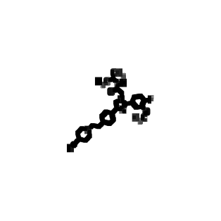 COc1cc(-c2nc(-c3ccc(CCN4CCC(C#N)CC4)cc3)cn2CC(=O)NC(C)C)ccc1F